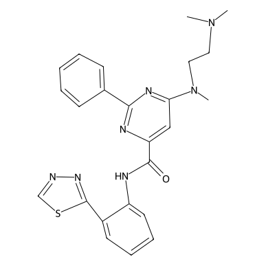 CN(C)CCN(C)c1cc(C(=O)Nc2ccccc2-c2nncs2)nc(-c2ccccc2)n1